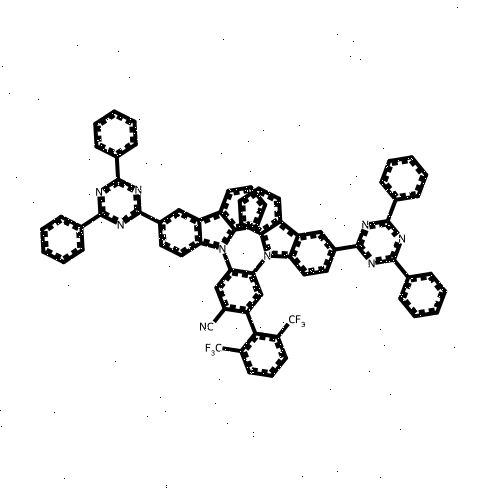 N#Cc1cc(-n2c3ccccc3c3cc(-c4nc(-c5ccccc5)nc(-c5ccccc5)n4)ccc32)c(-n2c3ccccc3c3cc(-c4nc(-c5ccccc5)nc(-c5ccccc5)n4)ccc32)cc1-c1c(C(F)(F)F)cccc1C(F)(F)F